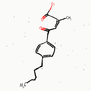 CCCCc1ccc(C(=O)C=C(C)C(=O)O)cc1